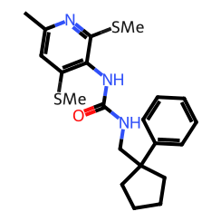 CSc1cc(C)nc(SC)c1NC(=O)NCC1(c2ccccc2)CCCC1